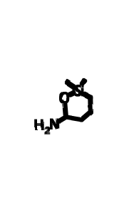 C[Si]1(C)CCCC(N)O1